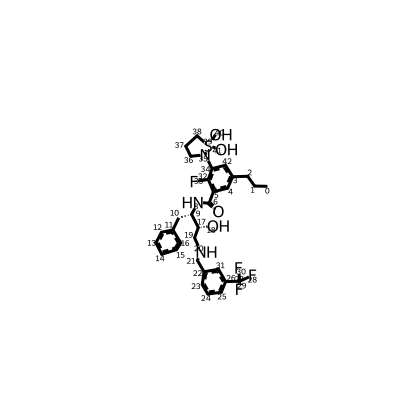 CCCc1cc(C(=O)N[C@@H](Cc2ccccc2)[C@H](O)CNCc2cccc(C(F)(F)F)c2)c(F)c(N2CCCS2(O)O)c1